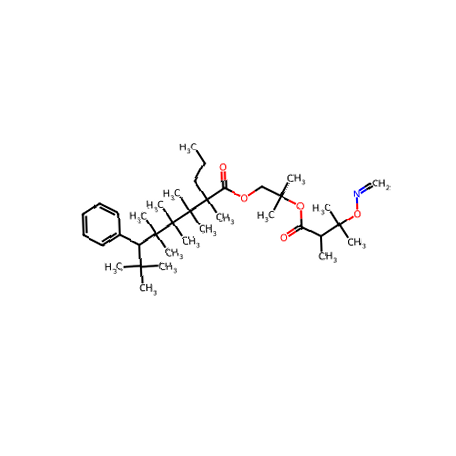 C=NOC(C)(C)C(C)C(=O)OC(C)(C)COC(=O)C(C)(CCC)C(C)(C)C(C)(C)C(C)(C)C(c1ccccc1)C(C)(C)C